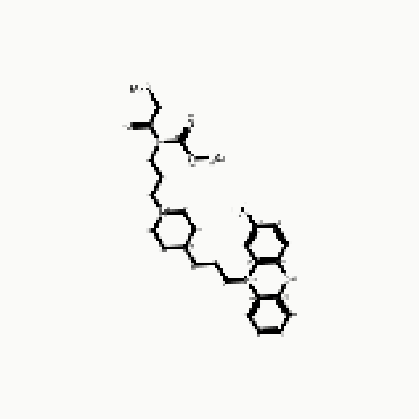 CNCC(=O)N(CCCN1CCC(CCCN2c3ccccc3Sc3ccc(C(F)(F)F)cc32)CC1)C(=O)OC(C)(C)C